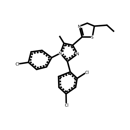 CCC1CN=C(c2nc(-c3ccc(Cl)cc3Cl)n(-c3ccc(Cl)cc3)c2C)S1